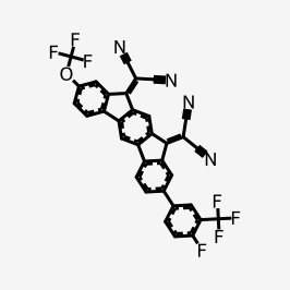 N#CC(C#N)=C1c2cc(OC(F)(F)F)ccc2-c2cc3c(cc21)C(=C(C#N)C#N)c1cc(-c2ccc(F)c(C(F)(F)F)c2)ccc1-3